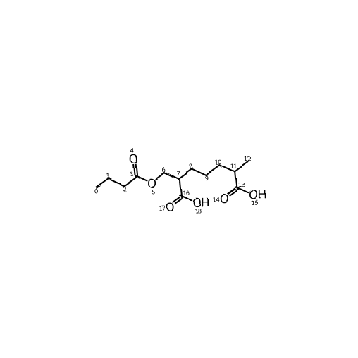 CCCC(=O)OCC(CCCC(C)C(=O)O)C(=O)O